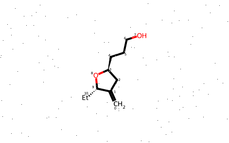 C=C1C[C@H](CCCO)O[C@H]1CC